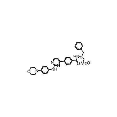 COC[C@H](Cc1ccccc1)NC(=O)c1ccc(-c2ccnc(Nc3ccc(N4CCOCC4)cc3)n2)cc1